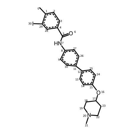 Cc1ccc(C(=O)Nc2ccc(-c3ccc(OC4CCN(C)CC4)cc3)cc2)cc1I